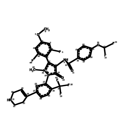 COc1cc(F)c(-c2c(NC(=O)c3ccc(OC(F)F)cc3)c(=O)n(-c3nc(C4=CCNCC4)ccc3C(F)(F)F)n2C)c(F)c1